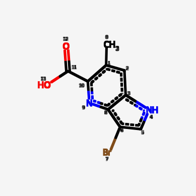 Cc1cc2[nH]cc(Br)c2nc1C(=O)O